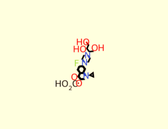 O=C(O)Oc1cn(C2CC2)c2cc(N3CCN(C(CO)C(O)CO)CC3)c(F)cc2c1=O